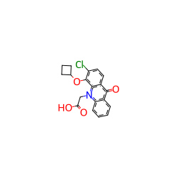 O=C(O)Cn1c2ccccc2c(=O)c2ccc(Cl)c(OC3CCC3)c21